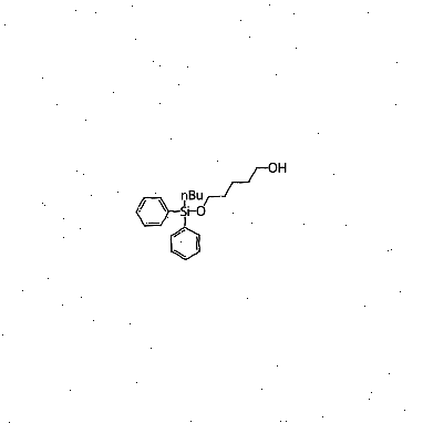 CCCC[Si](OCCCCCO)(c1ccccc1)c1ccccc1